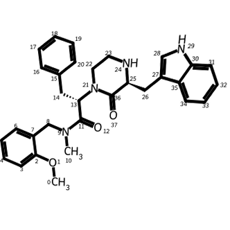 COc1ccccc1CN(C)C(=O)[C@H](Cc1ccccc1)N1CCN[C@@H](Cc2c[nH]c3ccccc23)C1=O